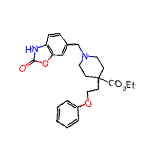 CCOC(=O)C1(CCOc2ccccc2)CCN(Cc2ccc3[nH]c(=O)oc3c2)CC1